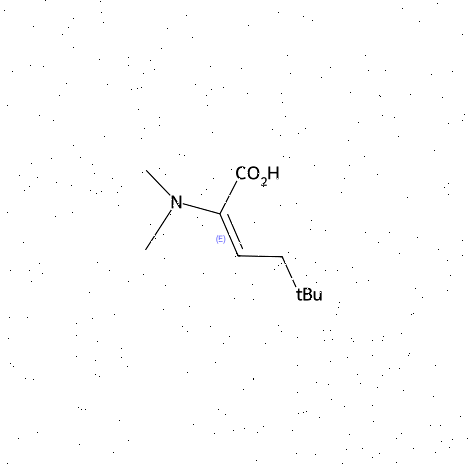 CN(C)/C(=C/CC(C)(C)C)C(=O)O